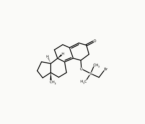 C[C@@]12CCC[C@H]1[C@@H]1CCC3=CC(=O)CC(O[Si](C)(C)CBr)C3=C1CC2